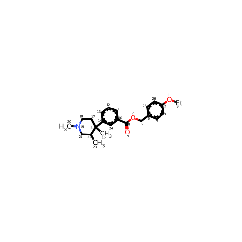 CCOc1ccc(COC(=O)c2cccc(C3(C)CCN(C)CC3C)c2)cc1